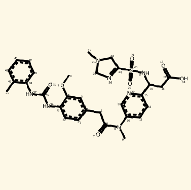 COc1cc(CC(=O)N(C)c2ccc(C(CC(=O)O)NS(=O)(=O)C3=NCN(C)C3)nc2)ccc1NC(=O)Nc1ccccc1C